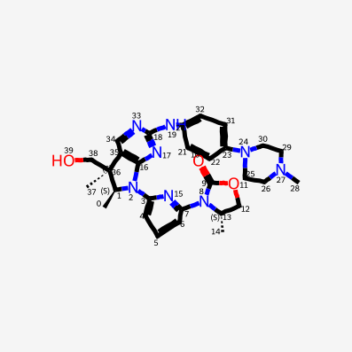 C[C@@H]1N(c2cccc(N3C(=O)OC[C@@H]3C)n2)c2nc(Nc3ccc(N4CCN(C)CC4)cc3)ncc2[C@]1(C)CO